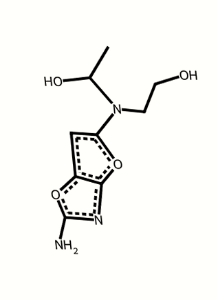 CC(O)N(CCO)c1cc2oc(N)nc2o1